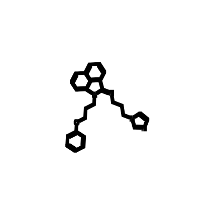 c1ccc(OCCCN2C(=NCCCn3ccnc3)c3cccc4cccc2c34)cc1